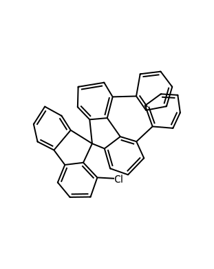 Clc1cccc2c1C1(c3ccccc3-2)c2cccc(-c3ccccc3)c2-c2c(-c3ccccc3)cccc21